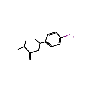 C=C(CC(C)c1ccc(P)cc1)C(C)C